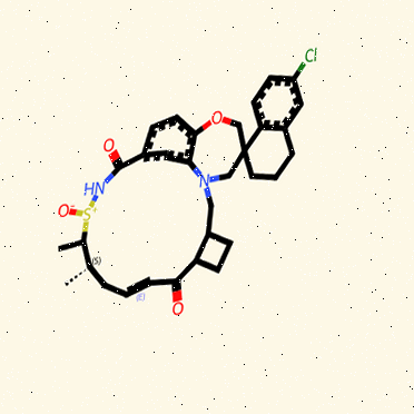 CC1[C@@H](C)C/C=C/C(=O)C2CCC2CN2CC3(CCCc4cc(Cl)ccc43)COc3ccc(cc32)C(=O)N[S+]1[O-]